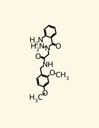 COc1ccc(CNC(=O)CN(N)C(=O)c2ccccc2N)c(OC)c1